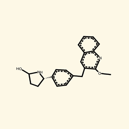 COc1nc2ccccc2cc1Cc1ccc([C@@H]2CCC(O)N2)cc1